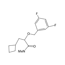 CNC(=O)C(CC1CCC1)OCc1cc(F)cc(F)c1